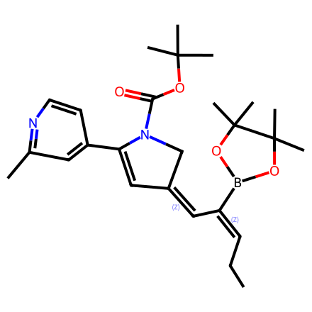 CC/C=C(\C=C1\C=C(c2ccnc(C)c2)N(C(=O)OC(C)(C)C)C1)B1OC(C)(C)C(C)(C)O1